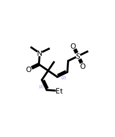 CC/C=C\C(C)(/C=C\CS(C)(=O)=O)C(=O)N(C)C